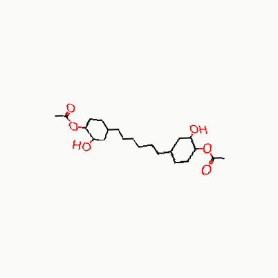 CC(=O)OC1CCC(CCCCCCC2CCC(OC(C)=O)C(O)C2)CC1O